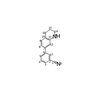 N#Cc1cccc(-c2ccc3c(c2)NCCC3)c1